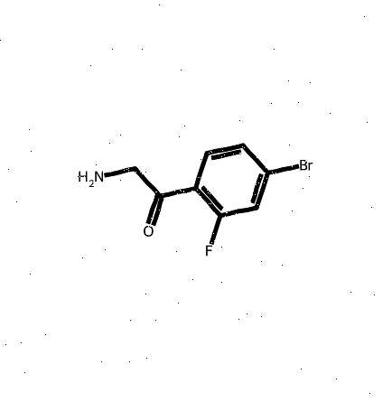 NCC(=O)c1ccc(Br)cc1F